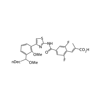 CCCCCCCCCCC(OC)c1cccc(-c2csc(NC(=O)c3cc(F)c(C=C(C)C(=O)O)c(F)c3)n2)c1OC